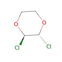 Cl[C@H]1OCCO[C@@H]1Cl